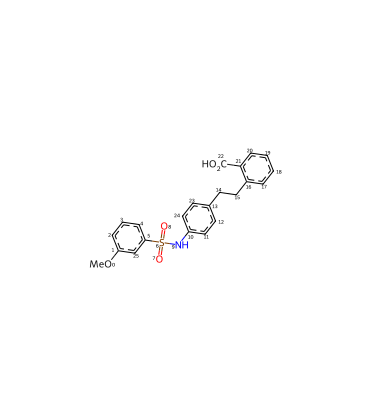 COc1cccc(S(=O)(=O)Nc2ccc(CCc3ccccc3C(=O)O)cc2)c1